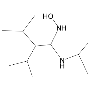 CC(C)NC(NO)C(C(C)C)C(C)C